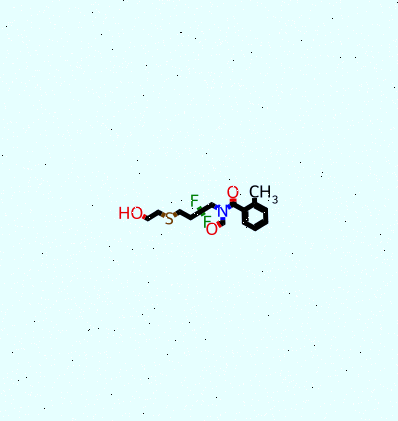 Cc1ccccc1C(=O)N(C=O)CC(F)(F)CCSCCO